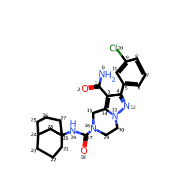 NC(=O)c1c(-c2cccc(Cl)c2)nn2c1CN(C(=O)NC13CCCC(CCC1)C3)CC2